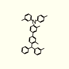 Cc1ccc(N(c2cccc(C)c2)c2ccc(-c3ccc(C(c4ccccc4)c4cccc(C)c4)c(C)c3)cc2C)cc1